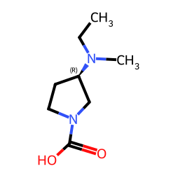 CCN(C)[C@@H]1CCN(C(=O)O)C1